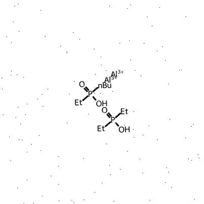 CCCCP(=O)(O)CC.CCP(=O)(O)CC.[Al+3].[Al+3]